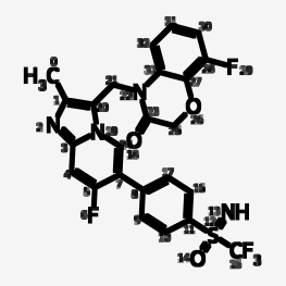 Cc1nc2cc(F)c(-c3ccc(S(=N)(=O)C(F)(F)F)cc3)cn2c1CN1C(=O)COc2c(F)cccc21